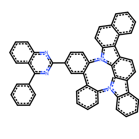 c1ccc(-c2nc(-c3ccc4c(c3)c3ccccc3n3c5ccccc5c5ccc6c7c8ccccc8ccc7n4c6c53)nc3ccccc23)cc1